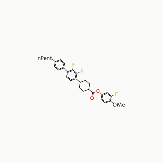 CCCCCc1ccc(-c2ccc(C3CCC(C(=O)Oc4ccc(OC)c(F)c4)CC3)c(F)c2F)cc1